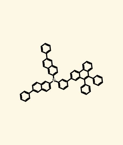 c1ccc(-c2ccc3cc(N(c4cccc(-c5ccc6c(c5)c(-c5ccccc5)c(-c5ccccc5)c5ccccc56)c4)c4ccc5cc(-c6ccccc6)ccc5c4)ccc3c2)cc1